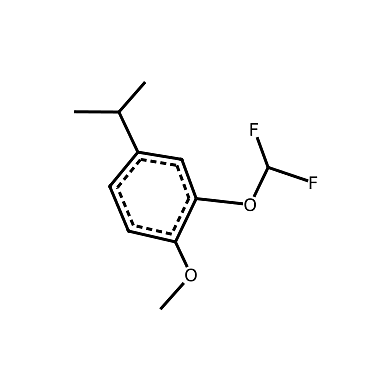 COc1ccc(C(C)C)cc1OC(F)F